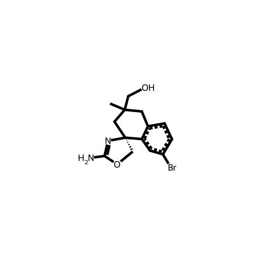 CC1(CO)Cc2ccc(Br)cc2[C@]2(COC(N)=N2)C1